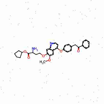 COc1cc2c(Oc3ccc(CC(=O)c4ccccc4)cc3)ccnc2cc1OCCC(N)C(=O)OC1CCCC1